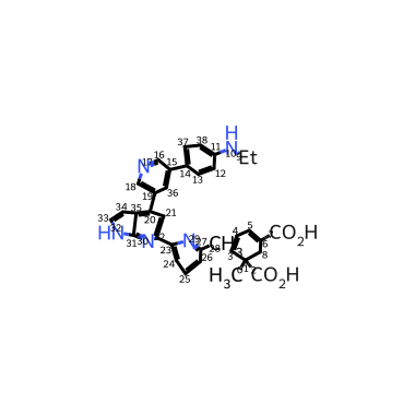 CC1(C(=O)O)C=CC=C(C(=O)O)C1.CCNc1ccc(-c2cncc(-c3cc(-c4cccc(C)n4)nc4[nH]ccc34)c2)cc1